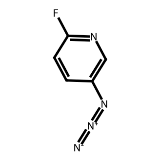 [N-]=[N+]=Nc1ccc(F)nc1